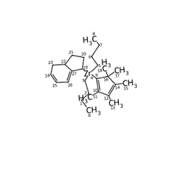 CCC[CH2][Zr]([CH2]CCC)([C]1=C(C)C(C)=C(C)C1(C)C)[CH]1CCC2CC=CC=C21